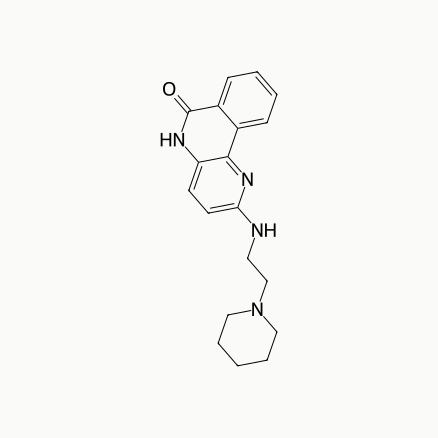 O=c1[nH]c2ccc(NCCN3CCCCC3)nc2c2ccccc12